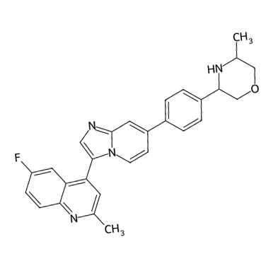 Cc1cc(-c2cnc3cc(-c4ccc(C5COCC(C)N5)cc4)ccn23)c2cc(F)ccc2n1